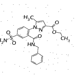 CCOC(=O)c1cc(C)n(-c2ccc(S(N)(=O)=O)cc2C(=O)NCc2ccccc2)n1